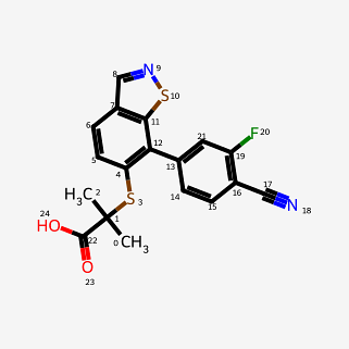 CC(C)(Sc1ccc2cnsc2c1-c1ccc(C#N)c(F)c1)C(=O)O